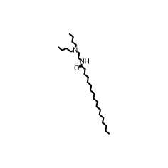 CCCCCCCCCCCCCCCCCC(=O)NCCN(CCCC)CCCC